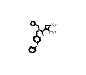 O=C(O)C1CC(C(=O)N(Cc2ccc(Oc3ccccc3)cc2)Cc2cccs2)C1C(=O)O